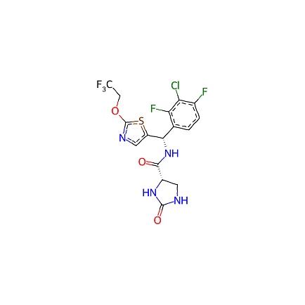 O=C1NC[C@@H](C(=O)N[C@H](c2cnc(OCC(F)(F)F)s2)c2ccc(F)c(Cl)c2F)N1